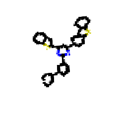 c1ccc(-c2cccc(-c3nc(-c4ccc5sc6ccccc6c5c4)cc(-c4cc5ccccc5s4)n3)c2)cc1